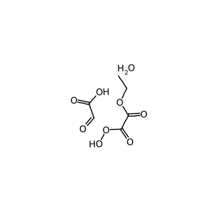 CCOC(=O)C(=O)OO.O.O=CC(=O)O